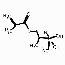 C=C(C)C(=O)OCC(C)P(O)(O)(O)CC